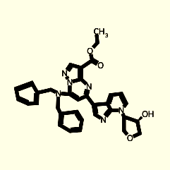 CCOC(=O)c1cnn2c(N(Cc3ccccc3)Cc3ccccc3)cc(-c3cnc4n(C5COC[C@@H]5O)cccc3-4)nc12